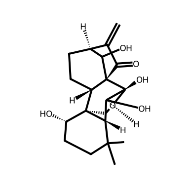 C=C1C(=O)[C@]23C(O)[C@H]1CC[C@H]2[C@@]12CO[C@]3(O)[C@@H](O)[C@@H]1C(C)(C)CC[C@@H]2O